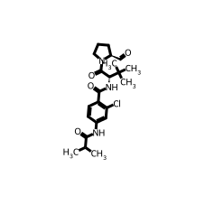 CC(C)C(=O)Nc1ccc(C(=O)N[C@H](C(=O)N2CCC[C@H]2C=O)C(C)(C)C)c(Cl)c1